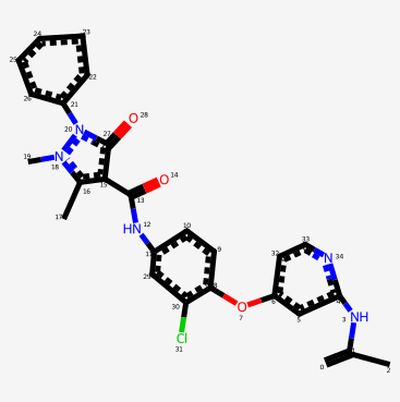 C=C(C)Nc1cc(Oc2ccc(NC(=O)c3c(C)n(C)n(-c4ccccc4)c3=O)cc2Cl)ccn1